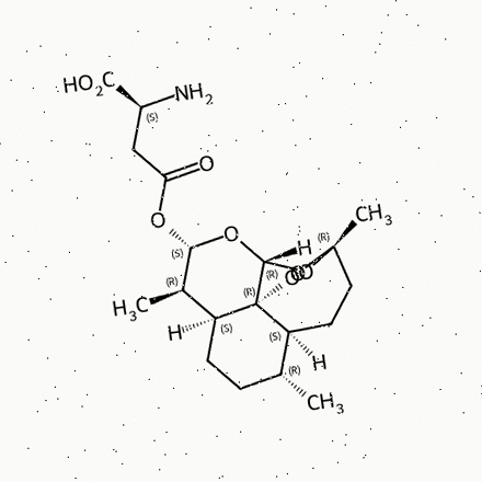 C[C@H]1[C@H](OC(=O)C[C@H](N)C(=O)O)O[C@@H]2O[C@@]3(C)CC[C@H]4[C@H](C)CC[C@@H]1[C@@]24OO3